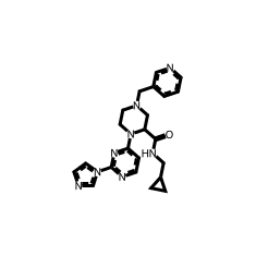 O=C(NCC1CC1)C1CN(Cc2cccnc2)CCN1c1ccnc(-n2ccnc2)n1